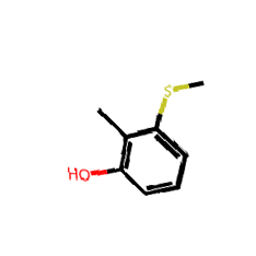 CSc1cccc(O)c1C